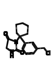 O=C1CNC(=O)N1C1(c2cccc(CCl)c2)CCCCC1